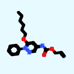 C=CCOC(=O)N=c1cnn(-c2ccccc2)c(OCCCCCC)c1